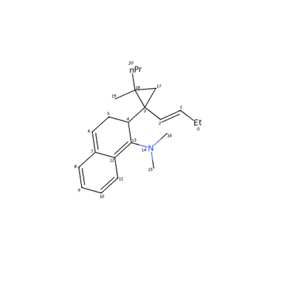 CCC=CC1(C2CC=c3ccccc3=C2N(C)C)CC1(C)CCC